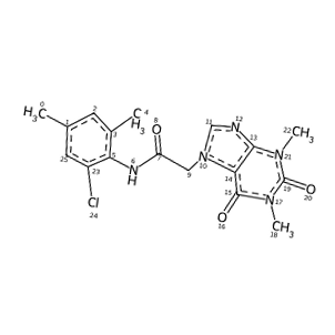 Cc1cc(C)c(NC(=O)Cn2cnc3c2c(=O)n(C)c(=O)n3C)c(Cl)c1